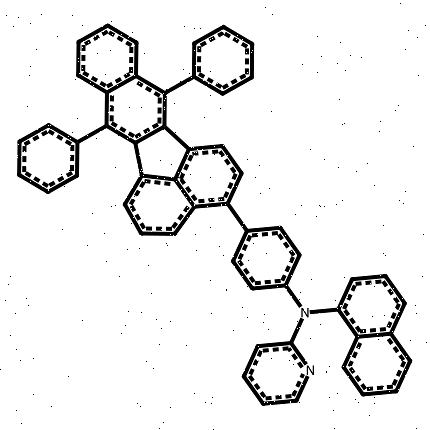 c1ccc(-c2c3c(c(-c4ccccc4)c4ccccc24)-c2ccc(-c4ccc(N(c5ccccn5)c5cccc6ccccc56)cc4)c4cccc-3c24)cc1